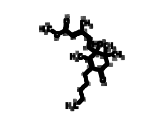 CCCCCC1=C(C)[C@](O)(C=CC(C)=CC(=O)OC)C(C)(C)CC1=O